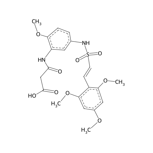 COc1cc(OC)c(C=CS(=O)(=O)Nc2ccc(OC)c(NC(=O)CC(=O)O)c2)c(OC)c1